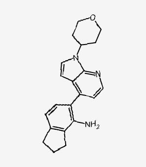 Nc1c(-c2ccnc3c2ccn3C2CCOCC2)ccc2c1CCC2